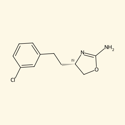 NC1=N[C@@H](CCc2cccc(Cl)c2)CO1